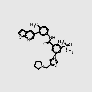 Cc1ccc(NC(=O)c2cc(-n3cnc(CN4CCCC4)c3)cc(P(C)(C)=O)c2)cc1-c1cnc2sccc2c1